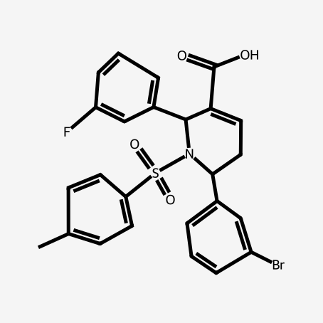 Cc1ccc(S(=O)(=O)N2C(c3cccc(Br)c3)CC=C(C(=O)O)C2c2cccc(F)c2)cc1